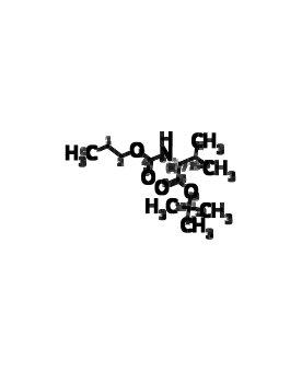 CCCOC(=O)N[C@@H](C(=O)OC(C)(C)C)C(C)C